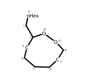 CCCCCCCC1CCCCCCOO1